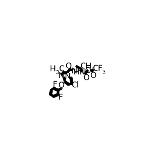 Cc1nc2c(OCc3c(F)cccc3F)cc(Cl)cn2c1C(=O)NCC(C)NC(=O)OC(=O)C(F)(F)F